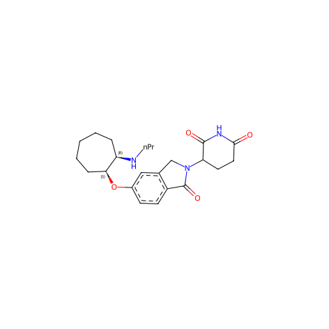 CCCN[C@@H]1CCCCC[C@@H]1Oc1ccc2c(c1)CN(C1CCC(=O)NC1=O)C2=O